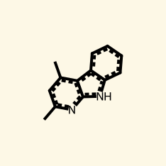 Cc1cc(C)c2c(n1)[nH]c1ccccc12